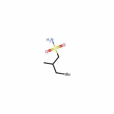 CC(CC(C)(C)C)CS(N)(=O)=O